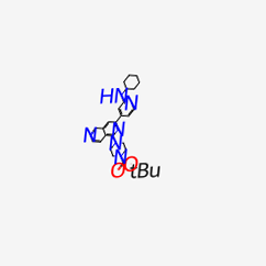 CC(C)(C)OC(=O)N1CCN(c2nc(-c3ccnc(NC4CCCCC4)c3)cc3cnccc23)CC1